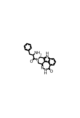 NC(Cc1ccccc1)C(=O)N1CC2=NNC(=O)c3cccc4[nH]c(c2c34)C1